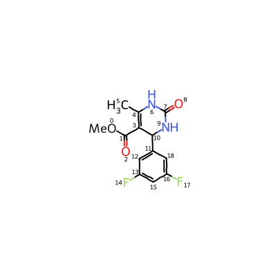 COC(=O)C1=C(C)NC(=O)NC1c1cc(F)cc(F)c1